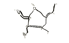 CC=C1OC(=O)C(Br)=C1C